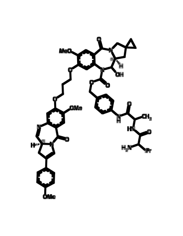 COc1ccc(C2=CN3C(=O)c4cc(OC)c(OCCCOc5cc6c(cc5OC)C(=O)N5CC7(CC7)C[C@H]5C(O)N6C(=O)OCc5ccc(NC(=O)C(C)NC(=O)C(N)C(C)C)cc5)cc4N=C[C@@H]3C2)cc1